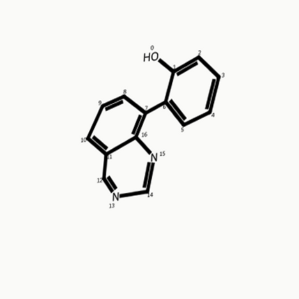 Oc1ccccc1-c1cccc2cncnc12